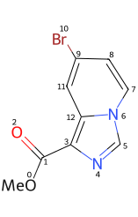 COC(=O)c1ncn2ccc(Br)cc12